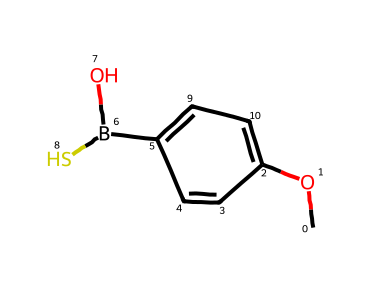 COc1ccc(B(O)S)cc1